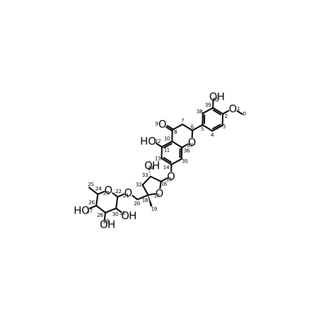 COc1ccc(C2CC(=O)c3c(O)cc(OC4O[C@](C)(COC5OC(C)C(O)C(O)C5O)C[C@@H]4O)cc3O2)cc1O